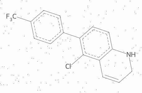 FC(F)(F)c1ccc(-c2ccc3c(c2Cl)C=CCN3)cc1